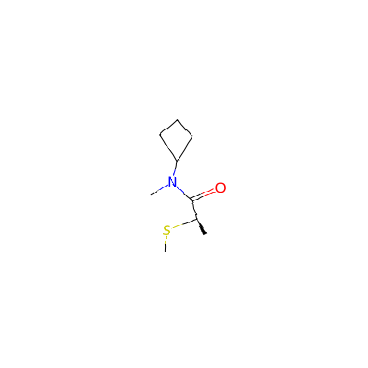 CS[C@H](C)C(=O)N(C)C1CCC1